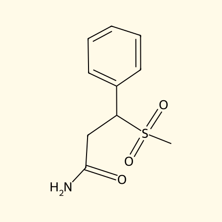 CS(=O)(=O)C(CC(N)=O)c1ccccc1